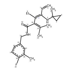 C=N/C(NC1(C)CC1)=C(\CC)C(C(=O)NCc1ccc(F)c(C)c1)=C(C)C